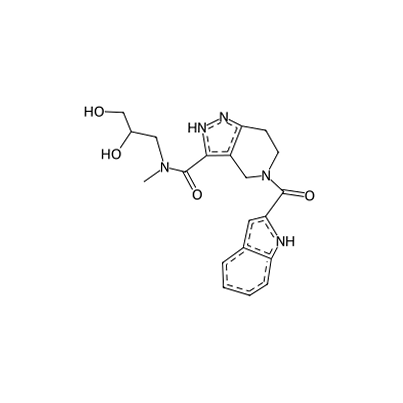 CN(CC(O)CO)C(=O)c1[nH]nc2c1CN(C(=O)c1cc3ccccc3[nH]1)CC2